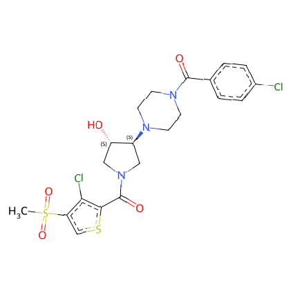 CS(=O)(=O)c1csc(C(=O)N2C[C@H](O)[C@@H](N3CCN(C(=O)c4ccc(Cl)cc4)CC3)C2)c1Cl